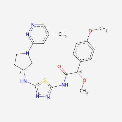 COc1ccc([C@H](OC)C(=O)Nc2nnc(N[C@@H]3CCN(c4cc(C)cnn4)C3)s2)cc1